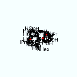 CCCCCCNC(=O)NC(=O)C[C@@H]1NC(=O)[C@H](NC(=O)[C@@H](CC(C)C)NC)[C@H](O)c2ccc3c(c2)C(O)[C@H]2O[C@@H](Oc4c5cc(cc4O3)[C@@H](NC1=O)C(=O)N[C@H]1C(=O)N[C@H](C(=O)N[C@H](C(=O)NC(C)C)c3cc(O)cc(C)c3-c3cc1ccc3O)[C@H](O)c1ccc(c(Cl)c1)O5)[C@H](O)[C@@H](O)[C@@H]2O